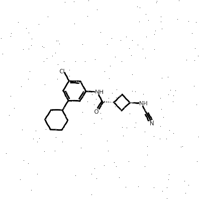 N#CN[C@H]1C[C@H](C(=O)Nc2cc(Cl)cc(C3CCCCC3)c2)C1